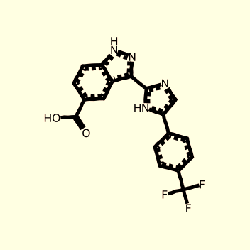 O=C(O)c1ccc2[nH]nc(-c3ncc(-c4ccc(C(F)(F)F)cc4)[nH]3)c2c1